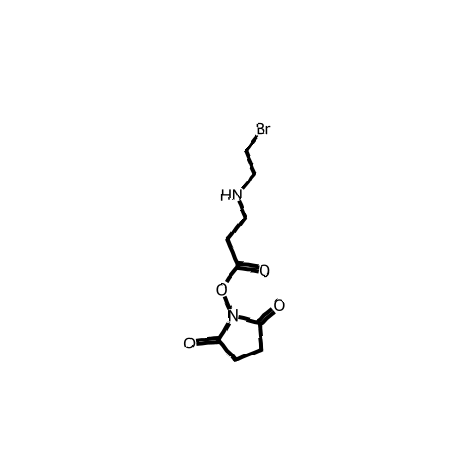 O=C(CCNCCBr)ON1C(=O)CCC1=O